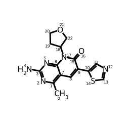 Cc1nc(N)nc2c1cc(-c1cncs1)c(=O)n2C1CCOC1